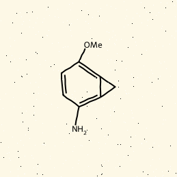 COc1ccc(N)c2c1C2